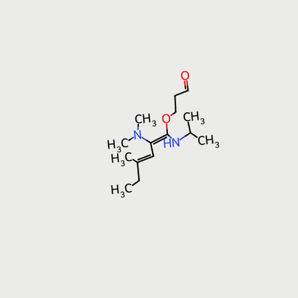 CC/C(C)=C/C(=C(\NC(C)C)OCCC=O)N(C)C